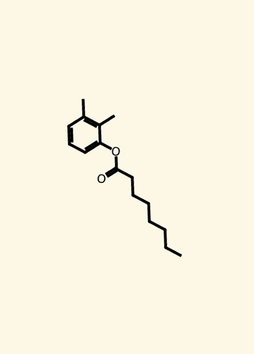 CCCCCCCC(=O)Oc1cccc(C)c1C